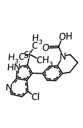 C[Si](C)(C)c1[nH]c2nccc(Cl)c2c1-c1ccc2c(c1)N(C(=O)O)CCC2